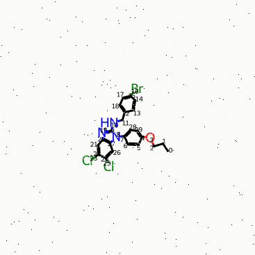 CCCOc1ccc(-n2c(NCc3ccc(Br)cc3)nc3cc(Cl)c(Cl)cc32)cc1